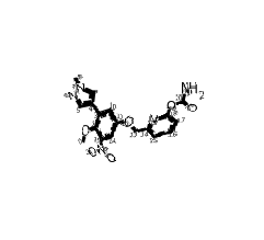 COc1c(-c2cnn(C)c2)cc(OCc2cccc(OC(N)=O)n2)cc1[N+](=O)[O-]